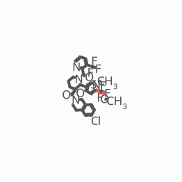 COCCN(C)CCC1N(C(=O)c2ncccc2C(F)(F)F)CCC[C@]1(Oc1csc(C(F)(F)F)c1)C(=O)N1CCc2cc(Cl)ccc2C1